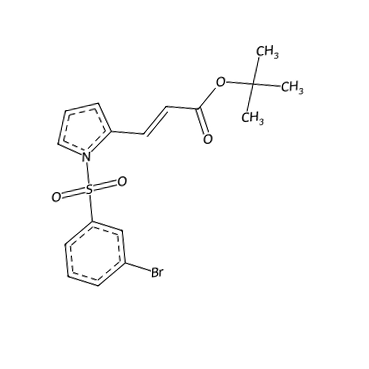 CC(C)(C)OC(=O)C=Cc1cccn1S(=O)(=O)c1cccc(Br)c1